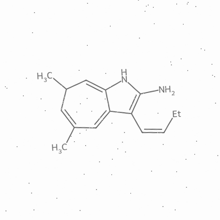 CC/C=C\c1c(N)[nH]c2c1=CC(C)=CC(C)C=2